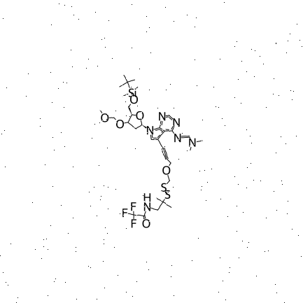 COCOC1C[C@H](n2cc(C#CCOCSSC(C)(C)CNC(=O)C(F)(F)F)c3c(/N=C/N(C)C)ncnc32)O[C@@H]1CO[Si](C)(C)C(C)(C)C